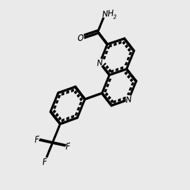 NC(=O)c1ccc2cncc(-c3cccc(C(F)(F)F)c3)c2n1